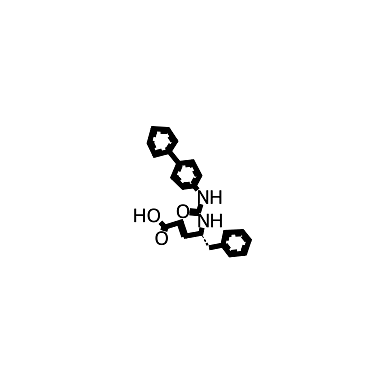 O=C(O)/C=C/[C@@H](Cc1ccccc1)NC(=O)Nc1ccc(-c2ccccc2)cc1